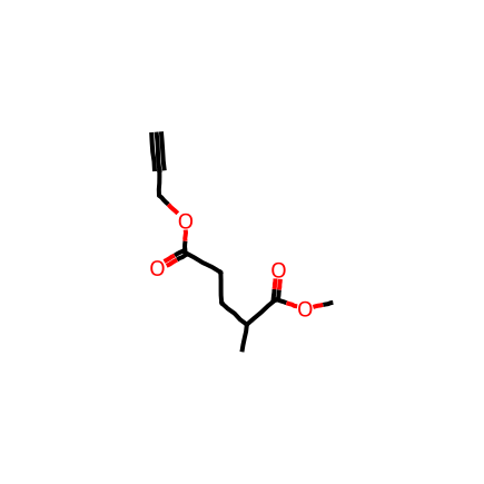 C#CCOC(=O)CCC(C)C(=O)OC